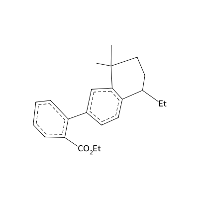 CCOC(=O)c1ccccc1-c1ccc2c(c1)C(C)(C)CCC2CC